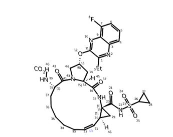 CCc1nc2cccc(F)c2nc1O[C@@H]1C[C@H]2C(=O)N[C@]3(C(=O)NS(=O)(=O)C4CC4)C[C@H]3/C=C\CCCCC[C@H](NC(=O)O)C(=O)N2C1